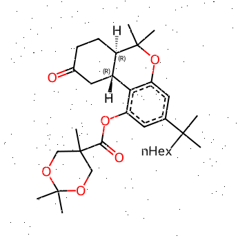 CCCCCCC(C)(C)c1cc(OC(=O)C2(C)COC(C)(C)OC2)c2c(c1)OC(C)(C)[C@@H]1CCC(=O)C[C@@H]21